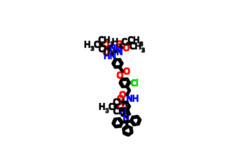 CC(C)(C)OC(=O)N=C(NC(=O)OC(C)(C)C)Nc1ccc(C(=O)Oc2ccc(CC(=O)N[C@@H](Cc3cn(C(c4ccccc4)(c4ccccc4)c4ccccc4)cn3)C(=O)OC(C)(C)C)c(Cl)c2)cc1